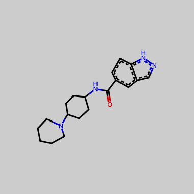 O=C(NC1CCC(N2CCCCC2)CC1)c1ccc2[nH]ncc2c1